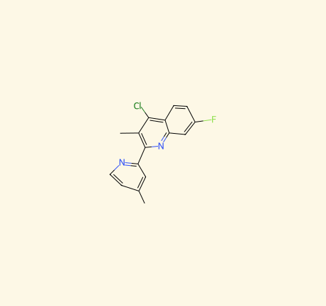 Cc1ccnc(-c2nc3cc(F)ccc3c(Cl)c2C)c1